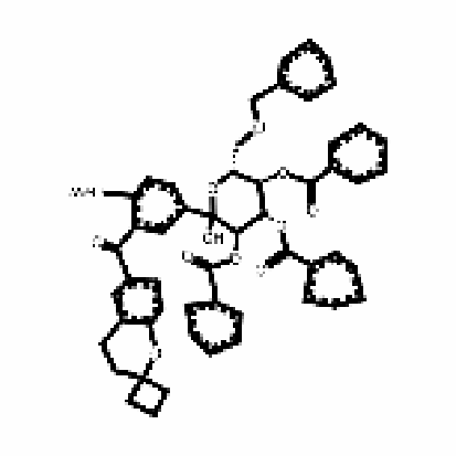 COc1ccc(C2(O)O[C@H](COCc3ccccc3)[C@@H](OC(=O)c3ccccc3)[C@H](OC(=O)c3ccccc3)[C@H]2OC(=O)c2ccccc2)cc1C(=O)c1ccc2c(c1)CCC1(CCC1)O2